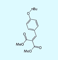 CCCCOc1ccc(C=C(C(=O)OC)C(=O)OC)cc1